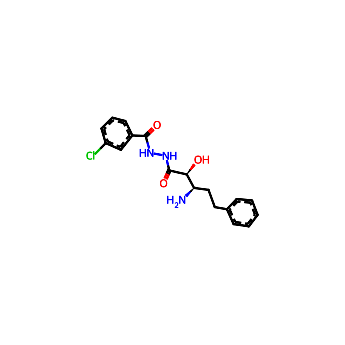 N[C@H](CCc1ccccc1)[C@H](O)C(=O)NNC(=O)c1cccc(Cl)c1